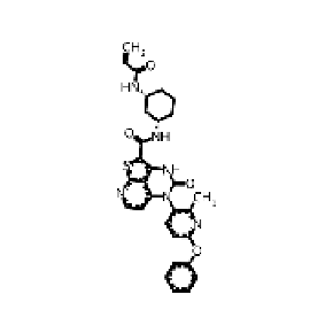 C=CC(=O)N[C@@H]1CCC[C@H](NC(=O)c2sc3nccc4c3c2NC(=O)N4c2ccc(Oc3ccccc3)nc2C)C1